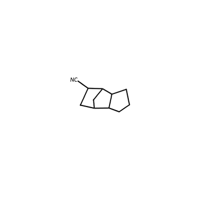 N#CC1CC2CC1C1CCCC21